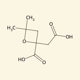 CC1(C)CC(CC(=O)O)(C(=O)O)O1